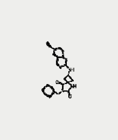 C#Cc1ccc2nc(NC3CC4(C3)NC(=O)N(Cc3ccccc3)C4=O)ncc2c1